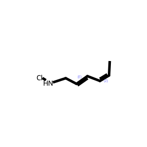 C/C=C\C=C\CNCl